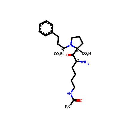 CCOC(=O)[C@H](CCc1ccccc1)N1CCC[C@]1(C(=O)O)C(=O)[C@@H](N)CCCCNC(=O)C(F)(F)F